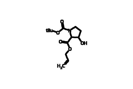 C=CCOC(=O)C1C(O)CCN1C(=O)OC(C)(C)C